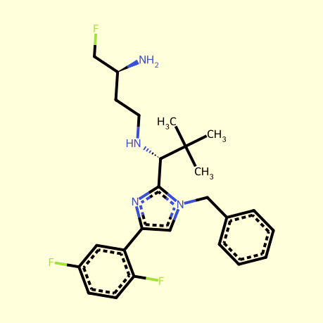 CC(C)(C)[C@@H](NCC[C@H](N)CF)c1nc(-c2cc(F)ccc2F)cn1Cc1ccccc1